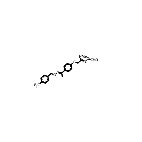 CN/C(COc1ccc(/C(C)=N/OCc2ccc(C(F)(F)F)cc2)cc1)=N\OC=O